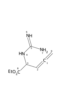 C=C=CC(NC(=N)N)C(=O)OCC